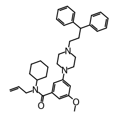 C=CCN(C(=O)c1cc(OC)cc(N2CCN(CCC(c3ccccc3)c3ccccc3)CC2)c1)C1CCCCC1